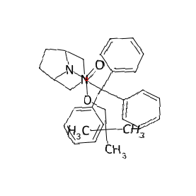 CC(C)(C)COC(=O)N1C2CCC1CN(C(c1ccccc1)(c1ccccc1)c1ccccc1)C2